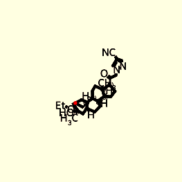 CCOCC[C@]12CC[C@@](C)(O)C[C@H]1CC[C@H]1[C@@H]3CC[C@H](C(=O)Cn4cc(C#N)cn4)[C@@]3(C)CC[C@@H]12